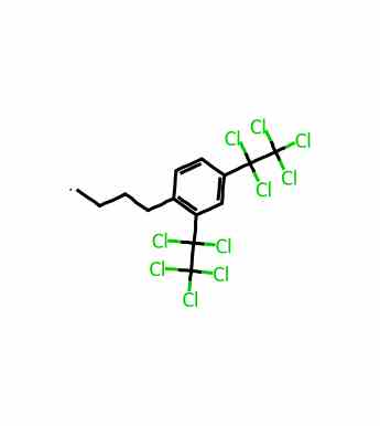 [CH2]CCCc1ccc(C(Cl)(Cl)C(Cl)(Cl)Cl)cc1C(Cl)(Cl)C(Cl)(Cl)Cl